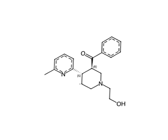 Cc1cccc([C@H]2[CH]CN(CCO)C[C@@H]2C(=O)c2ccccc2)n1